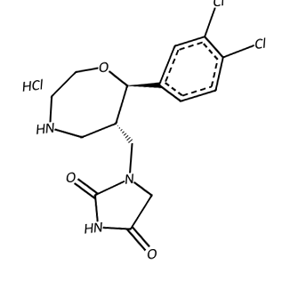 Cl.O=C1CN(C[C@@H]2CNCCO[C@H]2c2ccc(Cl)c(Cl)c2)C(=O)N1